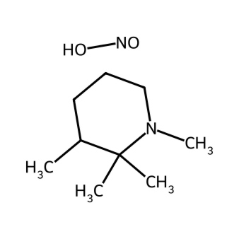 CC1CCCN(C)C1(C)C.O=NO